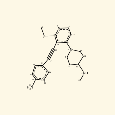 CCc1ncnc(N2CCC(NC)CC2)c1C#Cc1ccc(N)nc1